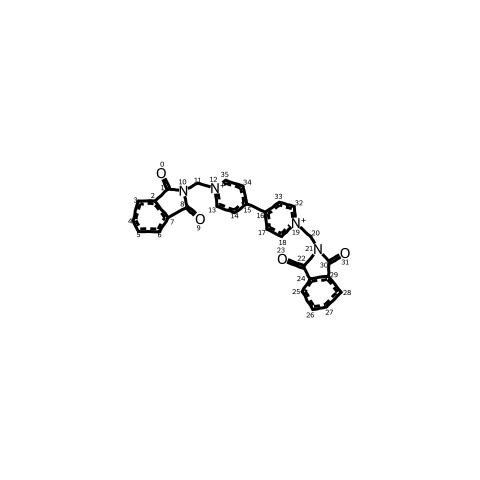 O=C1c2ccccc2C(=O)N1C[n+]1ccc(-c2cc[n+](CN3C(=O)c4ccccc4C3=O)cc2)cc1